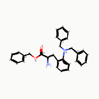 NC(Cc1ccccc1N(Cc1ccccc1)Cc1ccccc1)C(=O)OCc1ccccc1